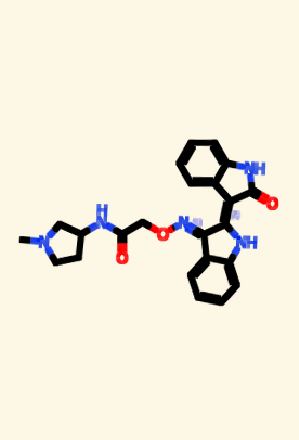 CN1CCC(NC(=O)CO/N=C2/C(=C3/C(=O)Nc4ccccc43)Nc3ccccc32)C1